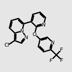 FC(F)(F)c1ccc(Oc2ncccc2-c2cccc3c(Cl)cnn23)cn1